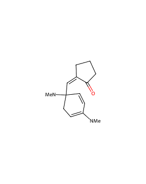 CNC1=CCC(C=C2CCCC2=O)(NC)C=C1